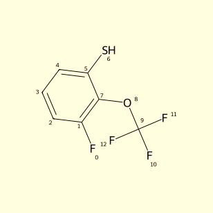 Fc1cccc(S)c1OC(F)(F)F